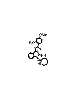 COc1ccc(-c2nc3c4ccccc4nc(N[C@@H]4CCCCNC4=O)n3n2)c(C(F)(F)F)c1